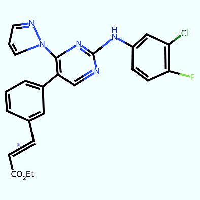 CCOC(=O)/C=C/c1cccc(-c2cnc(Nc3ccc(F)c(Cl)c3)nc2-n2cccn2)c1